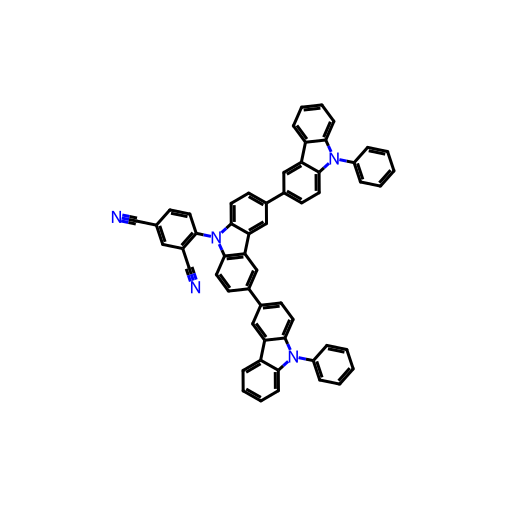 N#Cc1ccc(-n2c3ccc(-c4ccc5c(c4)c4ccccc4n5-c4ccccc4)cc3c3cc(-c4ccc5c(c4)c4ccccc4n5-c4ccccc4)ccc32)c(C#N)c1